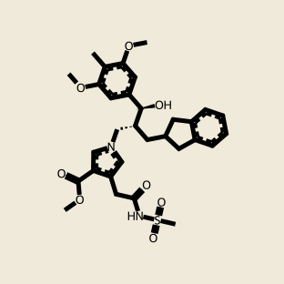 COC(=O)c1cn(C[C@@H](CC2Cc3ccccc3C2)[C@H](O)c2cc(OC)c(C)c(OC)c2)cc1CC(=O)NS(C)(=O)=O